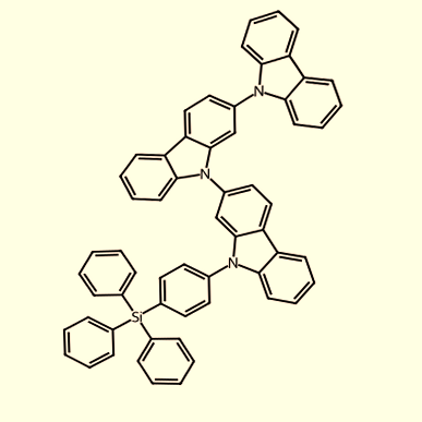 c1ccc([Si](c2ccccc2)(c2ccccc2)c2ccc(-n3c4ccccc4c4ccc(-n5c6ccccc6c6ccc(-n7c8ccccc8c8ccccc87)cc65)cc43)cc2)cc1